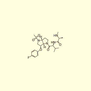 CN[C@@H](C)C(=O)N[C@H](C(=O)N1CC[C@@H]2[C@H]1[C@@H](Oc1ccc(F)cc1)CN2S(C)(=O)=O)C(C)C